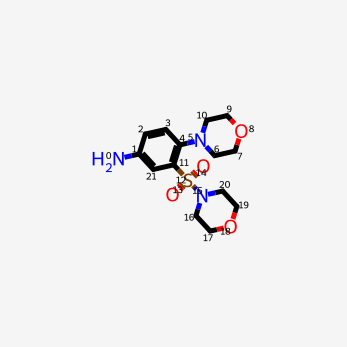 Nc1ccc(N2CCOCC2)c(S(=O)(=O)N2CCOCC2)c1